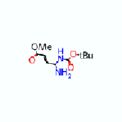 COC(=O)/C=C/[C@H](N)NC(=O)OC(C)(C)C